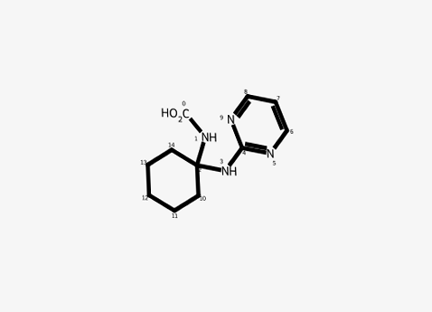 O=C(O)NC1(Nc2ncccn2)CCCCC1